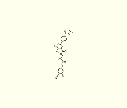 CC(C)(C)OC(=O)N1CC=C(c2cc(F)c3ncn(CC(=O)NCCc4ccc(C#N)c(Cl)c4)c(=O)c3c2)CC1